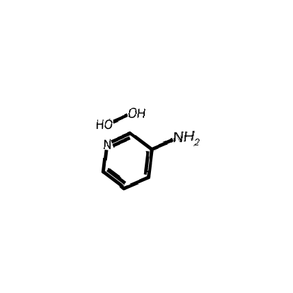 Nc1cccnc1.OO